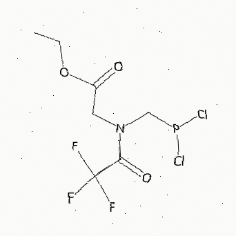 CCOC(=O)CN(CP(Cl)Cl)C(=O)C(F)(F)F